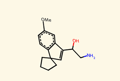 COc1ccc2c(c1)C(C(O)CN)=CC21CCCC1